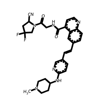 CN1CCC(Nc2ccc(C=Cc3ccc4nccc(C(=O)NCC(=O)N5CC(F)(F)CC5C#N)c4c3)cn2)CC1